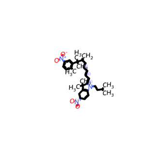 C=C(/C=C/C=C/C=C1/N(CCC(C)C)C2=C(CC([N+](=O)[O-])C=C2)C1(C)C)C(C)(C)c1cc([N+](=O)[O-])ccc1C